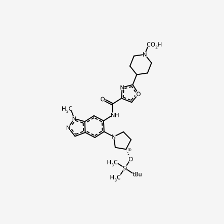 Cn1ncc2cc(N3CC[C@H](O[Si](C)(C)C(C)(C)C)C3)c(NC(=O)c3coc(C4CCN(C(=O)O)CC4)n3)cc21